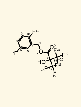 O=C(OCc1cc(F)ccc1F)C(O)(C(F)(F)F)C(F)(F)F